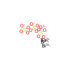 O=S(=O)([O-])[O-].O=S(=O)([O-])[O-].O=S(=O)([O-])[O-].[Ba+2].[Bi+3].[Bi+3].[O-2]